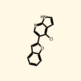 Clc1c(-c2cc3ccccc3o2)cnc2[nH]ccc12